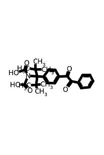 CC(C)(C)C(c1ccc(C(=O)C(=O)c2ccccc2)cc1)(N(C(=O)O)C(=O)O)C(C)(C)C